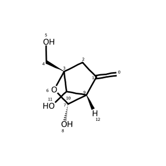 C=C1C[C@@]2(CO)O[C@@H](O)[C@@H]1C2O